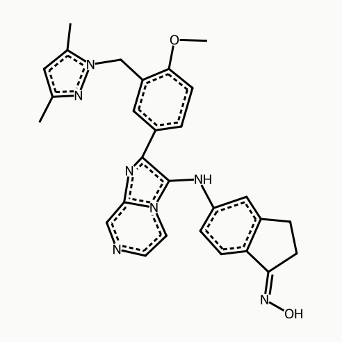 COc1ccc(-c2nc3cnccn3c2Nc2ccc3c(c2)CC/C3=N\O)cc1Cn1nc(C)cc1C